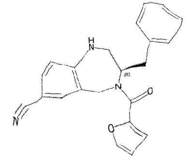 N#Cc1ccc2c(c1)CN(C(=O)c1ccco1)[C@H](Cc1ccccc1)CN2